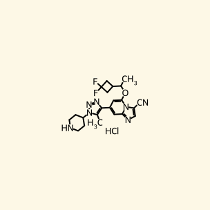 Cc1c(-c2cc(OC(C)C3CC(F)(F)C3)n3c(C#N)cnc3c2)nnn1C1CCNCC1.Cl